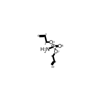 C=CCOP(N)(=O)OCC=C